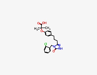 CC(C)(Oc1ccc(CCCc2n[nH]c(=O)n2Cc2ccccc2Cl)cc1)C(=O)O